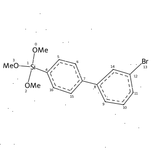 CO[Si](OC)(OC)c1ccc(-c2cccc(Br)c2)cc1